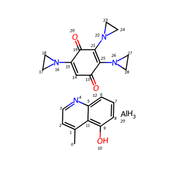 Cc1ccnc2cccc(O)c12.O=C1C=C(N2CC2)C(=O)C(N2CC2)=C1N1CC1.[AlH3]